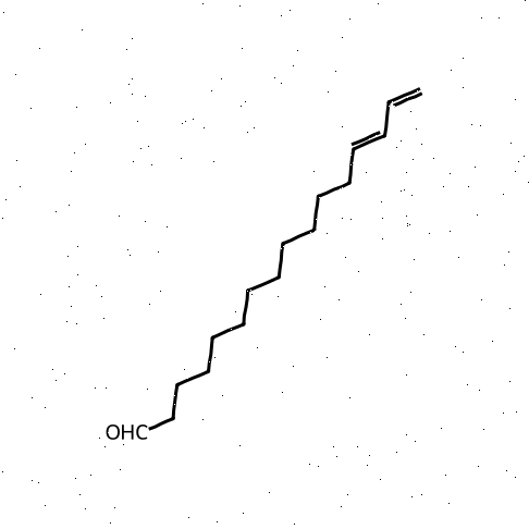 C=C/C=C/CCCCCCCCCCCC=O